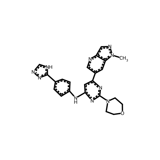 Cn1ncc2ncc(-c3cc(Nc4ccc(-c5nnc[nH]5)cc4)nc(N4CCOCC4)n3)cc21